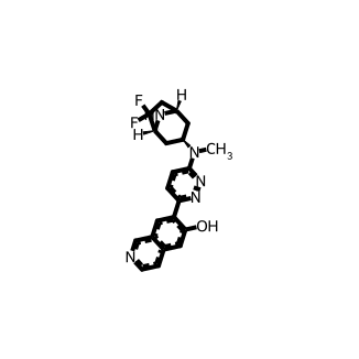 CN(c1ccc(-c2cc3cnccc3cc2O)nn1)[C@@H]1C[C@H]2CC(F)(F)[C@@H](C1)N2